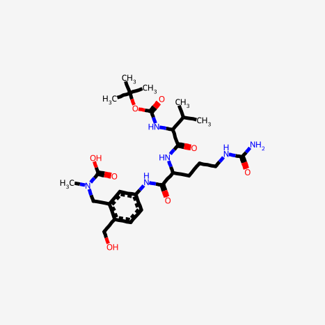 CC(C)C(NC(=O)OC(C)(C)C)C(=O)NC(CCCNC(N)=O)C(=O)Nc1ccc(CO)c(CN(C)C(=O)O)c1